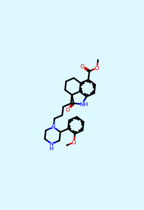 COC(=O)c1ccc2c3c1CCCC3(CCCCN1CCNCC1c1ccccc1OC)C(=O)N2